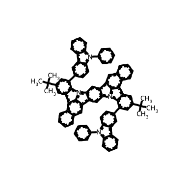 CC(C)(C)c1cc(-c2ccc3c(c2)c2ccccc2n3-c2ccccc2)c2c(c1)c1c3ccccc3cc3c4cc5c(cc4n2c31)c1cc2ccccc2c2c3cc(C(C)(C)C)cc(-c4ccc6c(c4)c4ccccc4n6-c4ccccc4)c3n5c12